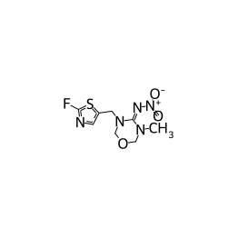 CN1COCN(Cc2cnc(F)s2)C1=N[N+](=O)[O-]